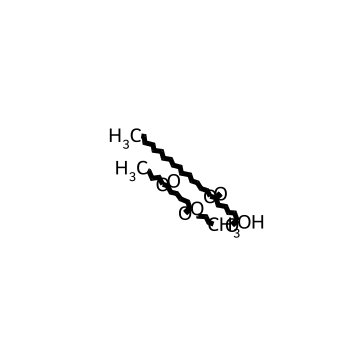 CCCCCCCCCCCCCCCCOC(=O)CCCCC(=O)O.CCCCOC(=O)CCCCC(=O)OCCCC